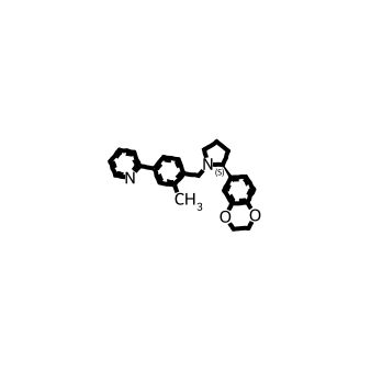 Cc1cc(-c2ccccn2)ccc1CN1CCC[C@H]1c1ccc2c(c1)OCCO2